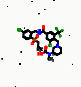 CCCS(=O)(=O)c1ccc(Cl)cc1CNC(=O)c1cc(Cl)c(CN2CCC[C@H](N(C)C(=O)O)C2)c(C(F)(F)F)c1